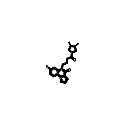 C[C@@H]1CN(C(=O)CCCn2c(=O)c3cccn3c3ccc(F)cc32)C[C@@H]1C